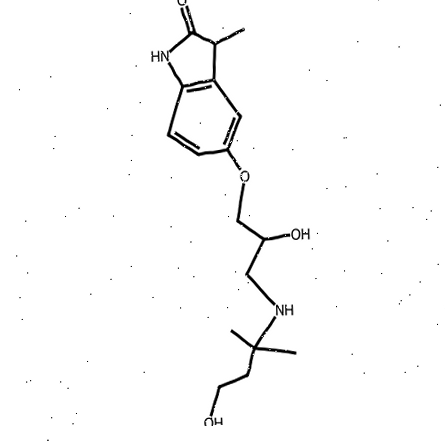 CC1C(=O)Nc2ccc(OCC(O)CNC(C)(C)CCO)cc21